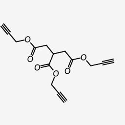 C#CCOC(=O)CC(CC(=O)OCC#C)C(=O)OCC#C